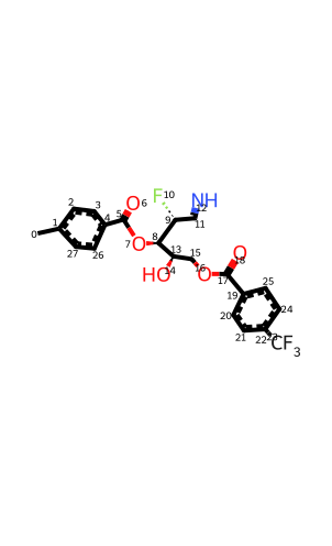 Cc1ccc(C(=O)O[C@@H]([C@H](F)C=N)[C@H](O)COC(=O)c2ccc(C(F)(F)F)cc2)cc1